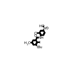 Cc1cc(C(=O)Nc2ccc([N+](=O)O)cc2Cl)c(I)c(C(C)(C)C)c1